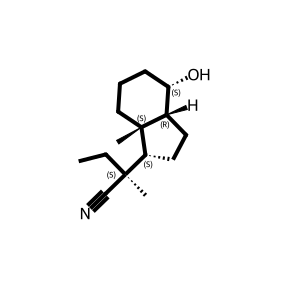 CC[C@](C)(C#N)[C@H]1CC[C@H]2[C@@H](O)CCC[C@]21C